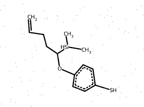 C=CCCC(Oc1ccc(S)cc1)[SiH](C)C